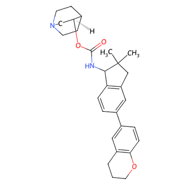 CC1(C)Cc2cc(-c3ccc4c(c3)CCCO4)ccc2C1NC(=O)O[C@H]1CN2CCC1CC2